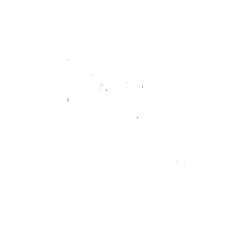 CCP(C)(=O)COc1ccc2c(C(C)=O)cn(CC(=O)N3C[C@H](F)C[C@H]3C(=O)NCc3cccc(Cl)c3F)c2c1